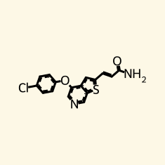 NC(=O)C=Cc1cc2c(Oc3ccc(Cl)cc3)cncc2s1